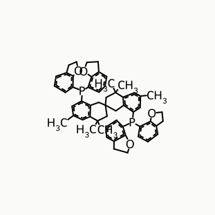 Cc1cc(P(c2cccc3c2OCC3)c2cccc3c2OCC3)c2c(c1)C(C)(C)CC1(C2)Cc2c(P(c3cccc4c3OCC4)c3cccc4c3OCC4)cc(C)cc2C(C)(C)C1